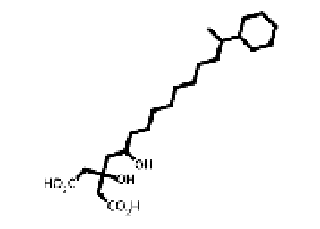 CC(CCCCCCCCC(O)CC(O)(CC(=O)O)CC(=O)O)C1CCCCC1